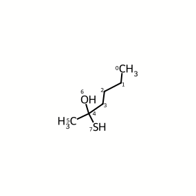 CCCCC(C)(O)S